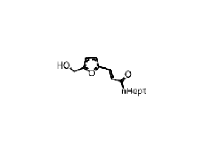 CCCCCCCC(=O)C=Cc1ccc(CO)o1